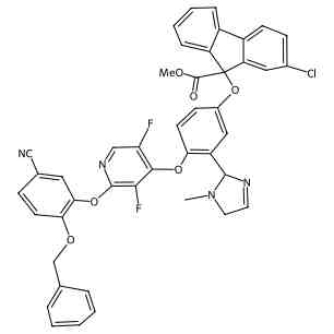 COC(=O)C1(Oc2ccc(Oc3c(F)cnc(Oc4cc(C#N)ccc4OCc4ccccc4)c3F)c(C3N=CCN3C)c2)c2ccccc2-c2ccc(Cl)cc21